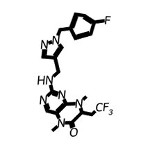 CN1C(=O)C(CC(F)(F)F)N(C)c2nc(NCc3cnn(Cc4ccc(F)cc4)c3)ncc21